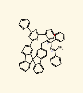 N/C(=N\C(=N/Cc1ccc2c(c1)C1(c3ccccc3-2)c2ccccc2-c2ccc(-c3nc(-c4ccccn4)nc(-c4ccccn4)n3)cc21)c1ccccn1)c1ccccn1